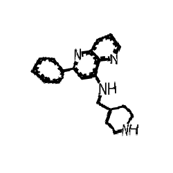 c1ccc(-c2cc(NCC3CCNCC3)c3ncccc3n2)cc1